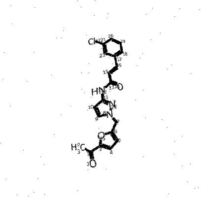 CC(=O)c1ccc(Cn2ccc(NC(=O)/C=C/c3cccc(Cl)c3)n2)o1